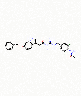 CC(=O)Nc1c(Cl)cc(CNC(=N)NC(=O)Cc2c[nH]c3cc(OCc4ccccc4)ccc23)cc1Cl